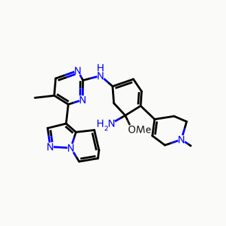 COC1(N)CC(Nc2ncc(C)c(-c3cnn4ccccc34)n2)=CC=C1C1=CCN(C)CC1